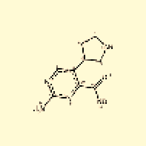 Nc1ncc(C2CCNC2)c(C(=O)N=O)n1